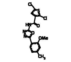 COc1cc(C)ccc1-c1nnc(NC(=O)c2cc(Cl)sc2Cl)o1